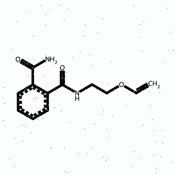 C=COCCNC(=O)c1ccccc1C(N)=O